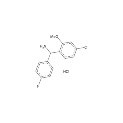 COc1cc(Cl)ccc1C(N)c1ccc(F)cc1.Cl